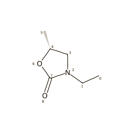 CCN1C[C@@H](C)OC1=O